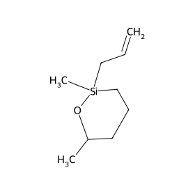 C=CC[Si]1(C)CCCC(C)O1